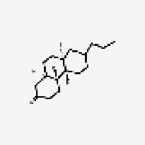 CCCC1CC[C@H]2[C@@H](CC[C@@H]3CC(=O)CC[C@H]32)C1